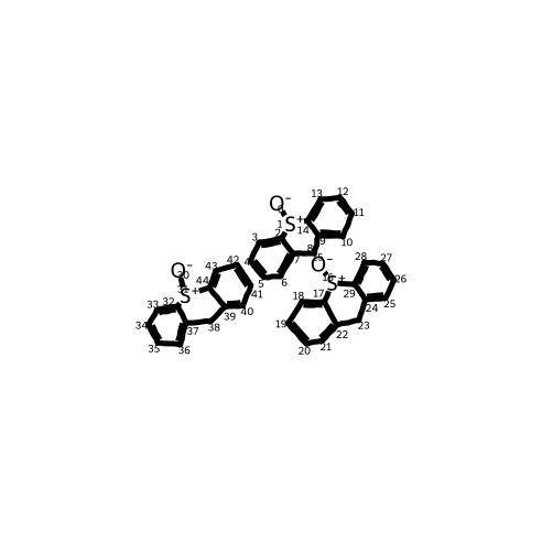 [O-][S+]1c2ccccc2Cc2ccccc21.[O-][S+]1c2ccccc2Cc2ccccc21.[O-][S+]1c2ccccc2Cc2ccccc21